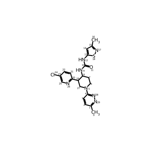 Cc1ccc(N2CCC(NC(=O)Nc3cc(C)ns3)C(c3ccc(Cl)cn3)C2)nn1